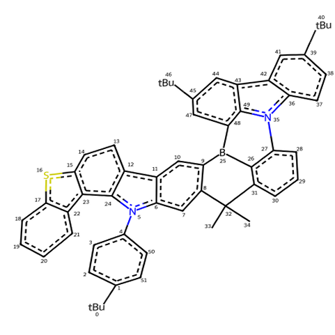 CC(C)(C)c1ccc(-n2c3cc4c(cc3c3ccc5sc6ccccc6c5c32)B2c3c(cccc3C4(C)C)-n3c4ccc(C(C)(C)C)cc4c4cc(C(C)(C)C)cc2c43)cc1